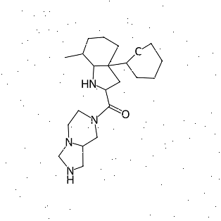 CC1CCCC2(C3CCCCC3)CC(C(=O)N3CCN4CNCC4C3)NC12